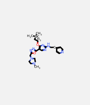 CN1CCN(Cc2nnc(-c3cnc(NCCc4ccncc4)nc3OCC[Si](C)(C)C)o2)CC1